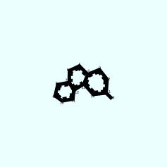 Cc1ccc2c[c]c3ccccc3c2c1